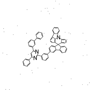 c1ccc(-c2cccc(-c3cc(-c4ccccc4)nc(-c4cccc(-c5ccc6c(c5)-c5ccccc5C65c6ccccc6-n6c7ccccc7c7cccc5c76)c4)n3)c2)cc1